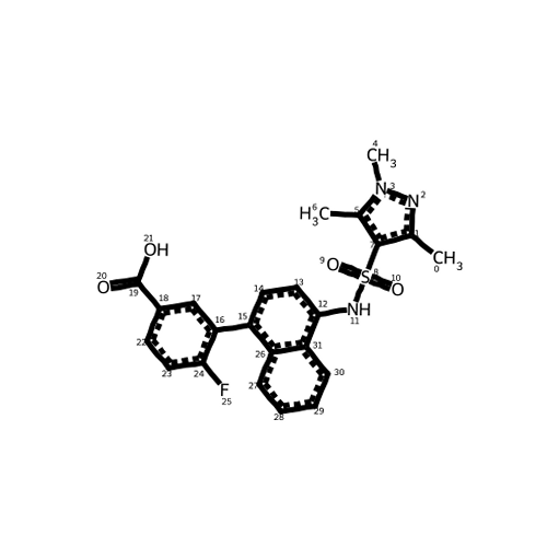 Cc1nn(C)c(C)c1S(=O)(=O)Nc1ccc(-c2cc(C(=O)O)ccc2F)c2ccccc12